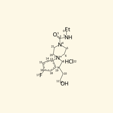 CCNC(=O)N1CC[N+](CCCCO)(c2ccc(F)cc2)CC1.Cl